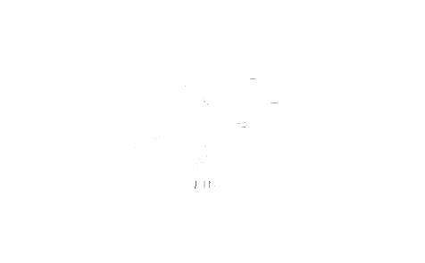 COC(=O)c1cccnc1C1=C(C)NC(C)=CC1c1cc(Cl)cc(Cl)c1